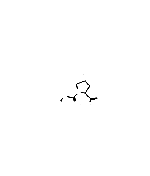 COC(=O)C1C[C@@H](O)CN1C(=O)OC(C)(C)C